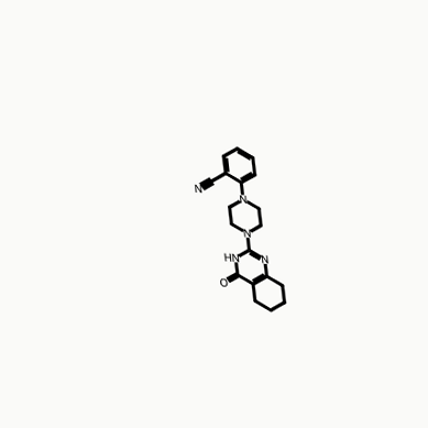 N#Cc1ccccc1N1CCN(c2nc3c(c(=O)[nH]2)CCCC3)CC1